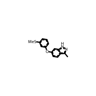 CSc1cccc(Oc2ccc3c(C)n[nH]c3c2)c1